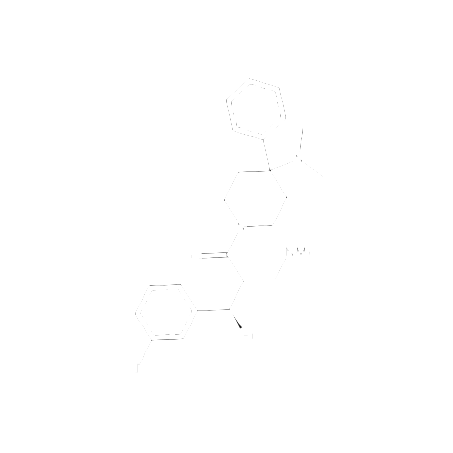 CC[C@@H](c1cccc(Cl)c1)[C@@H](CNC)C(=O)N1CCC(c2ccccc2)(N(C)C)CC1